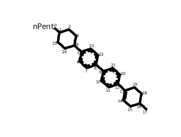 CCCCCC1CCC(c2ccc(-c3ccc(C4=CCC(C)CC4)cc3)cc2)CC1